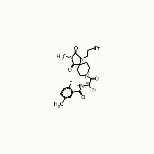 Cc1ccc(F)c(C(=O)N[C@@H](C(=O)N2CCC3(CC2)C(=O)N(C)C(=O)N3CCC(C)C)C(C)C)c1